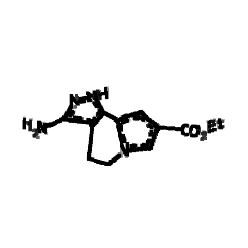 CCOC(=O)c1cc2n(c1)CCc1c(N)n[nH]c1-2